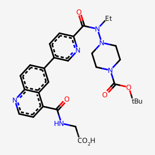 CCN(C(=O)c1ccc(-c2ccc3nccc(C(=O)NCC(=O)O)c3c2)cn1)N1CCN(C(=O)OC(C)(C)C)CC1